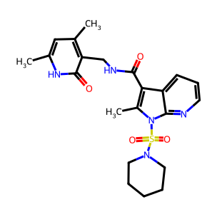 Cc1cc(C)c(CNC(=O)c2c(C)n(S(=O)(=O)N3CCCCC3)c3ncccc23)c(=O)[nH]1